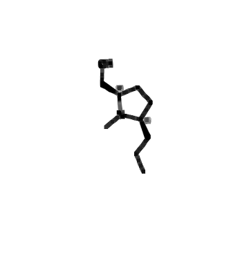 CCC[C@@H]1CC[C@H](CO)N1C